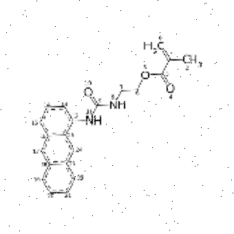 C=C(C)C(=O)OCCNC(=O)Nc1cccc2cc3ccccc3cc12